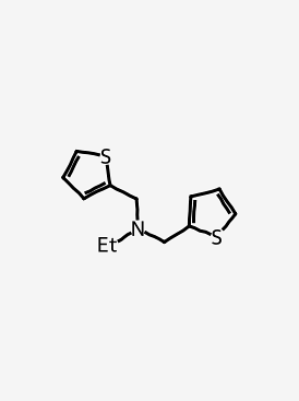 [CH2]CN(Cc1cccs1)Cc1cccs1